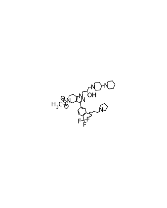 CS(=O)(=O)N1CCc2c(c(-c3ccc(C(F)(F)F)c(SCCN4CCCC4)c3)nn2CC(O)CN2CCC(N3CCCCC3)CC2)C1